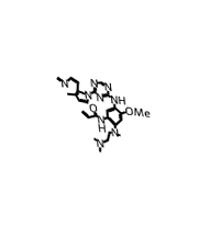 C=CC(=O)Nc1cc(Nc2ncnc(-n3ccc(C)c3/C=C\N=C)n2)c(OC)cc1N(C)CCN(C)C